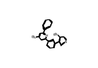 CC(C)(C)c1cc(-c2ccccc2)nc(-c2cccc(-c3cnccc3C(C)(C)C)c2)c1